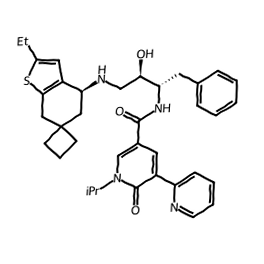 CCc1cc2c(s1)CC1(CCC1)C[C@@H]2NC[C@@H](O)[C@H](Cc1ccccc1)NC(=O)c1cc(-c2ccccn2)c(=O)n(C(C)C)c1